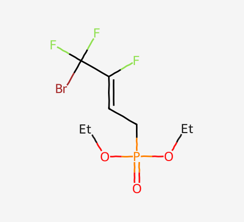 CCOP(=O)(CC=C(F)C(F)(F)Br)OCC